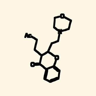 CC(=O)CCC1C(=O)c2ccccc2OC1CCN1CCOCC1